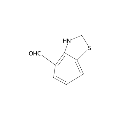 O=Cc1cccc2c1NCS2